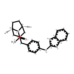 NC(=O)N1[C@@H]2CC[C@H]1CN(Cc1ccc(Oc3nc4ccccc4s3)cc1)C2